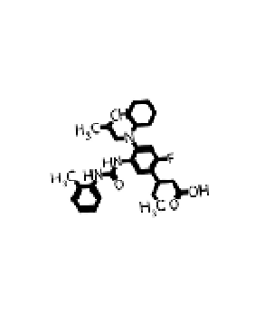 CCC(CC(=O)O)c1cc(NC(=O)Nc2ccccc2C)c(N(CC(C)C)C2CCCCC2)cc1F